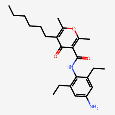 CCCCCCc1c(C)oc(C)c(C(=O)Nc2c(CC)cc(N)cc2CC)c1=O